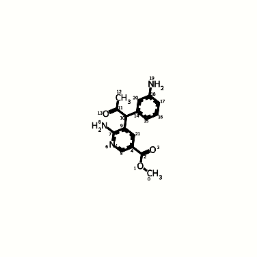 COC(=O)c1cnc(N)c(C(C(C)=O)c2cccc(N)c2)c1